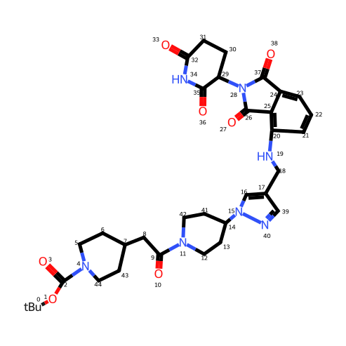 CC(C)(C)OC(=O)N1CCC(CC(=O)N2CCC(n3cc(CNc4cccc5c4C(=O)N(C4CCC(=O)NC4=O)C5=O)cn3)CC2)CC1